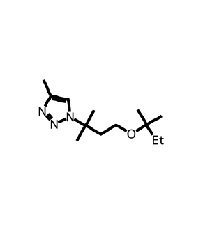 CCC(C)(C)OCCC(C)(C)n1cc(C)nn1